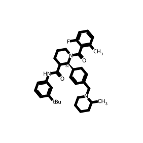 Cc1cccc(F)c1C(=O)N1CCCC(C(=O)Nc2cccc(C(C)(C)C)c2)[C@@H]1C1C=CC(CN2CCCCC2C)=CC1